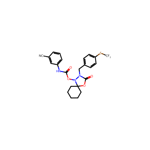 N#Cc1cccc(NC(=O)ON2N(Cc3ccc(SC(F)(F)F)cc3)C(=O)OC23CCCCC3)c1